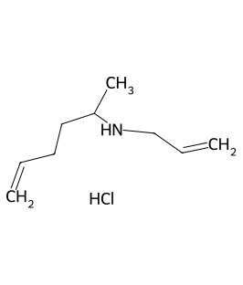 C=CCCC(C)NCC=C.Cl